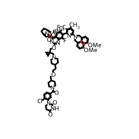 COc1ccc(CN(Cc2ccc(OC)cc2)c2cc(C)c(C(F)(F)F)c(-c3c(Cl)cc4c(N5CC6CCC(C5)N6C(=O)OC(C)(C)C)nc(OCC5(CN6CCC(CCOCC7CCN(C(=O)c8ccc(Cl)c(N9CCC(=O)NC9=O)c8)CC7)CC6)CC5)nc4c3F)n2)cc1